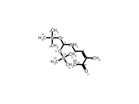 CC(=CC[SiH2]C(O[Si](C)(C)C)O[Si](C)(C)C)C(=O)O